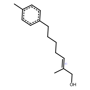 C/C(=C\CCCCc1ccc(C)cc1)CO